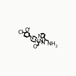 COc1cc(N2CCN(C(C=O)n3nc(CN)c4cccnc43)CC2)ccc1Cl